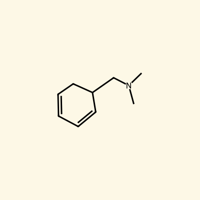 CN(C)CC1C=CC=CC1